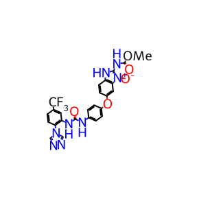 COC(=O)Nc1[nH]c2ccc(Oc3ccc(NC(=O)Nc4cc(C(F)(F)F)ccc4-n4cnnc4)cc3)cc2[n+]1[O-]